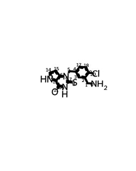 NCc1cc(Cn2c(=S)[nH]c(=O)c3[nH]ccc32)ccc1Cl